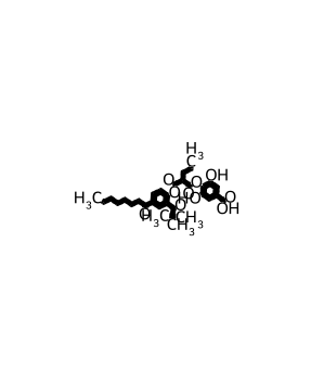 CCCCCCCC(=O)c1ccc(OC(=O)C(CCC)C(=O)Oc2c(O)cc(C(=O)O)cc2O)c(C(=O)C(C)(C)C)c1